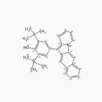 CC(C)(C)c1cc(-c2c3cc4ccccc4cc3n3ccccc23)cc(C(C)(C)C)c1O